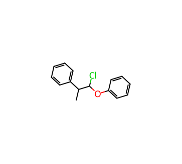 CC(c1ccccc1)C(Cl)Oc1ccccc1